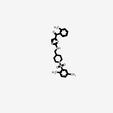 Cc1ccc(C)c(S(=O)(=O)N2CCC(CNc3ncc(C(=O)c4ccccc4C)s3)CC2)c1